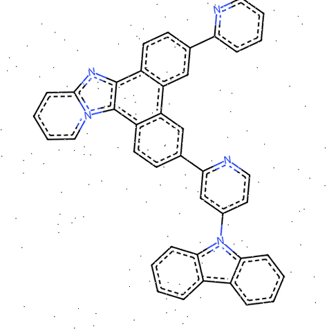 c1ccc(-c2ccc3c(c2)c2cc(-c4cc(-n5c6ccccc6c6ccccc65)ccn4)ccc2c2c3nc3ccccn32)nc1